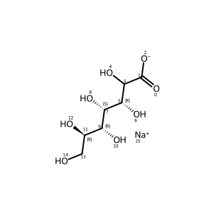 O=C([O-])C(O)[C@H](O)[C@@H](O)[C@H](O)[C@H](O)CO.[Na+]